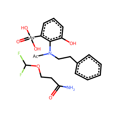 CC(=O)N(CCc1ccccc1)c1c(O)cccc1[As](=O)(O)O.NC(=O)CCOC(F)F